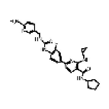 Nc1ccc(CNC(=O)Nc2ccc(-c3ccc(C(=O)NC4CCCC4)c(NC4CC4)n3)cc2F)cn1